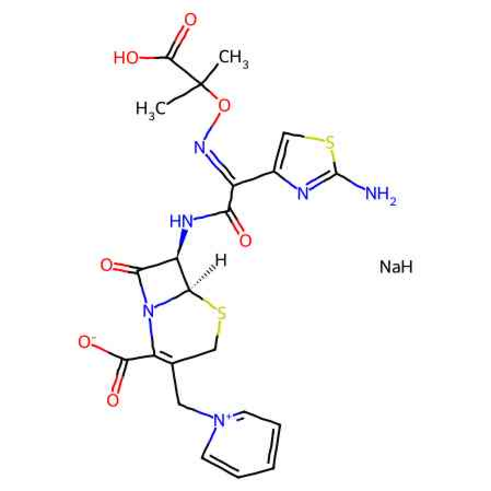 CC(C)(ON=C(C(=O)N[C@@H]1C(=O)N2C(C(=O)[O-])=C(C[n+]3ccccc3)CS[C@H]12)c1csc(N)n1)C(=O)O.[NaH]